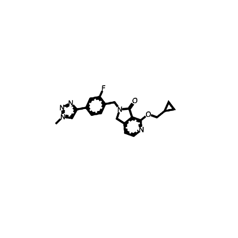 Cn1cc(-c2ccc(CN3Cc4ccnc(OCC5CC5)c4C3=O)c(F)c2)nn1